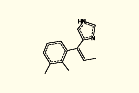 CC=C(c1c[nH]cn1)c1cccc(C)c1C